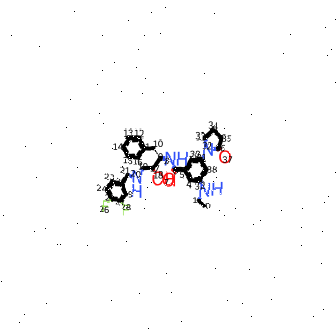 CCNc1cc(C(=O)N[C@@H](Cc2ccccc2)[C@@H](O)CNCc2ccc(F)c(F)c2)cc(N2CCCC2=O)c1